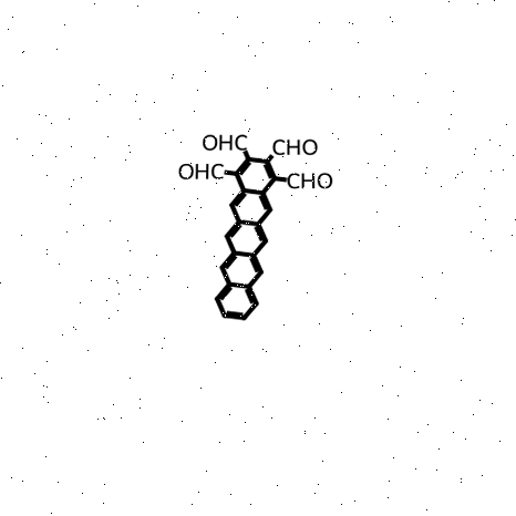 O=Cc1c(C=O)c(C=O)c2cc3cc4cc5ccccc5cc4cc3cc2c1C=O